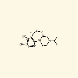 CC(C)N1CCN2c3ncc(Cl)c(Cl)c3OCCC2C1